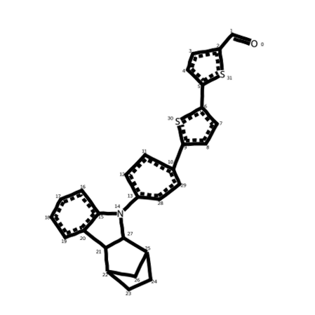 O=Cc1ccc(-c2ccc(-c3ccc(N4c5ccccc5C5C6CCC(C6)C54)cc3)s2)s1